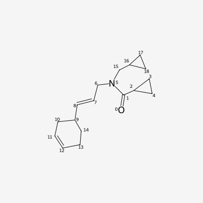 O=C(C1CC1)N(C/C=C/C1CC=CCC1)CC1CC1